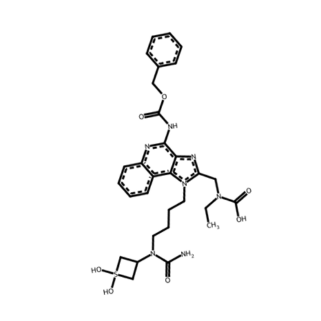 CCN(Cc1nc2c(NC(=O)OCc3ccccc3)nc3ccccc3c2n1CCCCN(C(N)=O)C1CS(O)(O)C1)C(=O)O